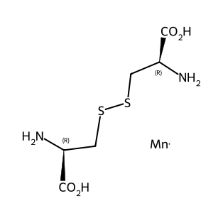 N[C@@H](CSSC[C@H](N)C(=O)O)C(=O)O.[Mn]